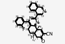 C[C@H]1C(=O)C(C#N)=C[C@@]2(C)c3nc(-c4cncc5ccccc45)nc(-c4ccccc4F)c3CC[C@H]12